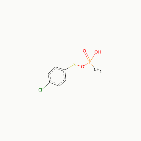 [CH2]P(=O)(O)OSc1ccc(Cl)cc1